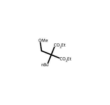 CCCCC(COC)(C(=O)OCC)C(=O)OCC